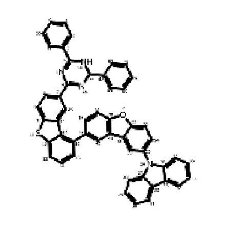 c1ccc(C2=NC(c3ccc4sc5cccc(-c6ccc7oc8ccc(-n9c%10ccccc%10c%10ccccc%109)cc8c7c6)c5c4c3)=NC(c3ccccc3)N2)cc1